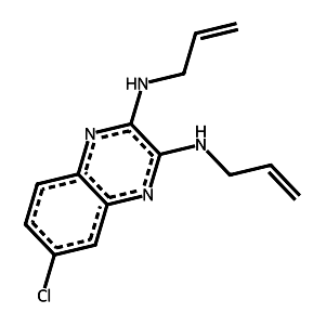 C=CCNc1nc2ccc(Cl)cc2nc1NCC=C